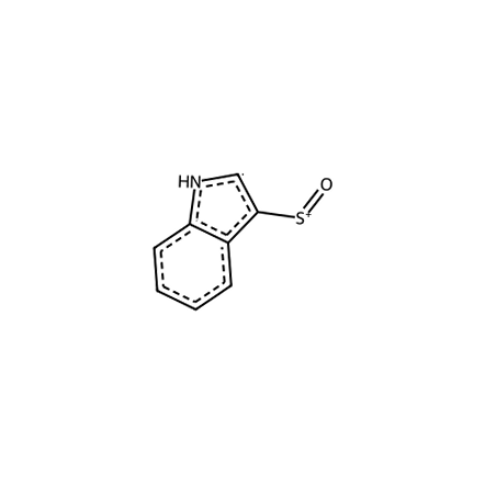 O=[S+]c1[c][nH]c2ccccc12